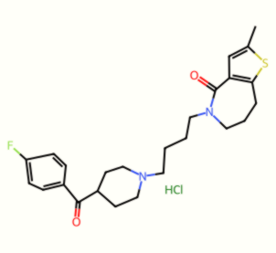 Cc1cc2c(s1)CCCN(CCCCN1CCC(C(=O)c3ccc(F)cc3)CC1)C2=O.Cl